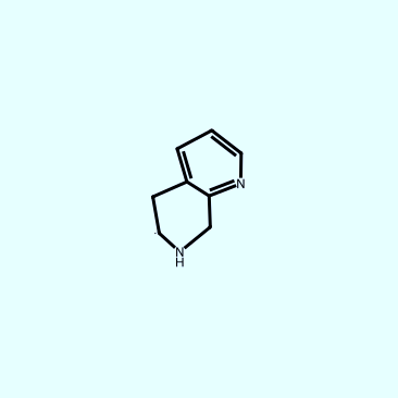 [CH]1Cc2cccnc2CN1